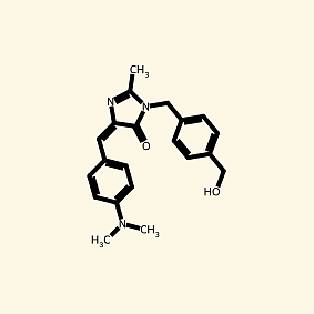 CC1=N/C(=C/c2ccc(N(C)C)cc2)C(=O)N1Cc1ccc(CO)cc1